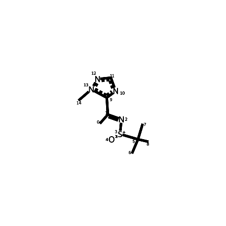 CC(=N[S@+]([O-])C(C)(C)C)c1ncnn1C